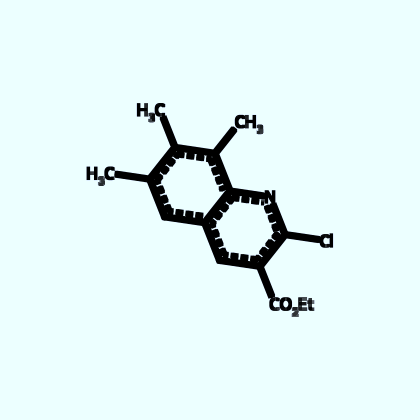 CCOC(=O)c1cc2cc(C)c(C)c(C)c2nc1Cl